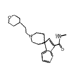 CNC(=O)C1=CC2(CCN(CCC3CCOCC3)CC2)c2ccccc21